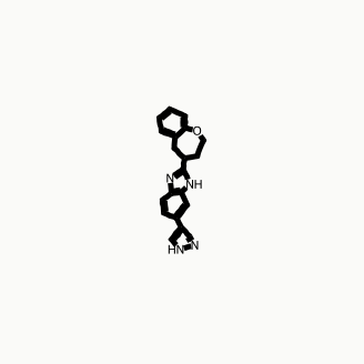 c1ccc2c(c1)CC(c1nc3ccc(-c4cn[nH]c4)cc3[nH]1)CCO2